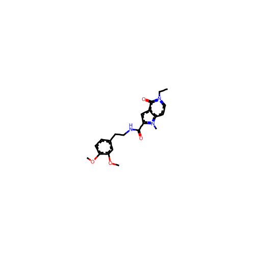 CCn1ccc2c(cc(C(=O)NCCc3ccc(OC)c(OC)c3)n2C)c1=O